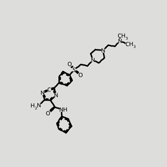 CN(C)CCN1CCN(CCS(=O)(=O)c2ccc(-c3cnc(N)c(C(=O)Nc4ccccc4)n3)cc2)CC1